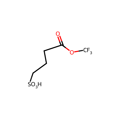 O=C(CCCS(=O)(=O)O)OC(F)(F)F